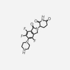 O=C1CCC(N2Cc3c(F)c(N4CCNCC4)c(F)c(F)c3C2=O)C(=O)N1